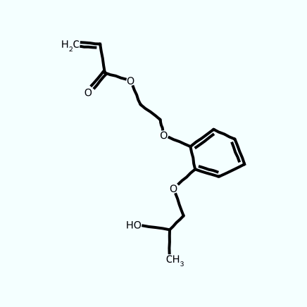 C=CC(=O)OCCOc1ccccc1OCC(C)O